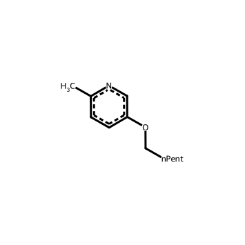 CCCCCCOc1ccc(C)nc1